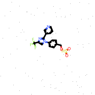 O=[SH](=O)OCc1ccc(-n2cc(C(F)(F)F)nc2-c2cccnc2)cc1